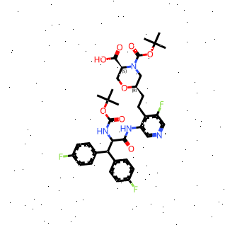 CC(C)(C)OC(=O)NC(C(=O)Nc1cncc(F)c1CC[C@@H]1CN(C(=O)OC(C)(C)C)[C@H](C(=O)O)CO1)C(c1ccc(F)cc1)c1ccc(F)cc1